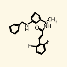 C[C@H](NC(=O)C=Cc1c(F)cccc1F)c1cccc(NCc2ccccc2)c1